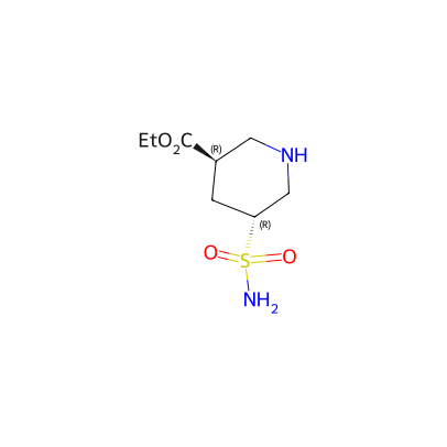 CCOC(=O)[C@H]1CNC[C@H](S(N)(=O)=O)C1